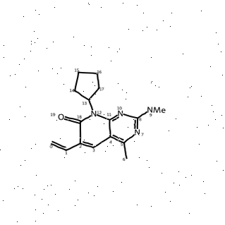 C=Cc1cc2c(C)nc(NC)nc2n(C2CCCC2)c1=O